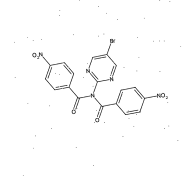 O=C(c1ccc([N+](=O)[O-])cc1)N(C(=O)c1ccc([N+](=O)[O-])cc1)c1ncc(Br)cn1